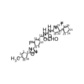 Cc1ccc(-c2nc(-c3ccc(CC(NC(=O)Nc4ccc(-c5ccccc5F)cn4)OC=O)cc3F)no2)cc1